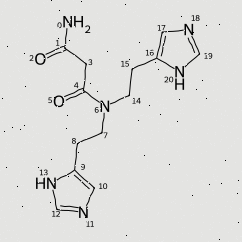 NC(=O)CC(=O)N(CCc1cnc[nH]1)CCc1cnc[nH]1